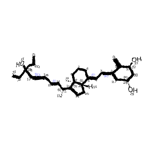 C=C1/C(=C/C=C2\CCC[C@]3(C)C([C@H](C)/C=C/C=C/C(O)(CC)CC)=CC[C@@H]23)C[C@@H](O)C[C@@H]1O